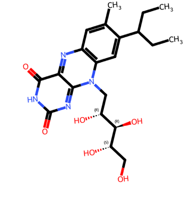 CCC(CC)c1cc2c(cc1C)nc1c(=O)[nH]c(=O)nc-1n2C[C@@H](O)[C@@H](O)[C@@H](O)CO